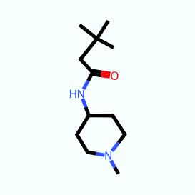 CN1CCC(NC(=O)CC(C)(C)C)CC1